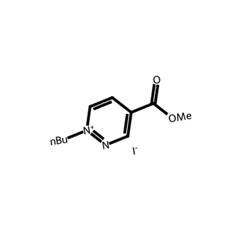 CCCC[n+]1ccc(C(=O)OC)cn1.[I-]